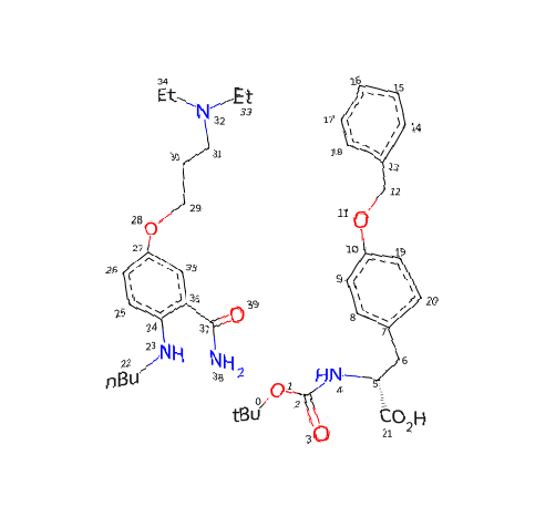 CC(C)(C)OC(=O)N[C@H](Cc1ccc(OCc2ccccc2)cc1)C(=O)O.CCCCNc1ccc(OCCCN(CC)CC)cc1C(N)=O